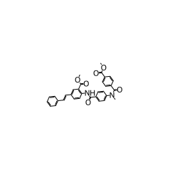 COC(=O)c1ccc(C(=O)N(C)c2ccc(C(=O)Nc3ccc(C=Cc4ccccc4)cc3C(=O)OC)cc2)cc1